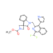 COC(=O)N1CC2(C1)C(=O)N(Cc1nc(C(F)F)c3ccccc3c1-c1cccnc1)c1ccccc12